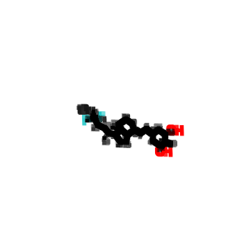 C=C1[C@H](O)CC(=C/C=C2\CCC[C@@]3(C)C2CCC3[C@H](C)CCC(F)(F)C(C)(C)C)C[C@H]1O